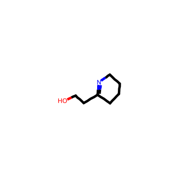 OCCC1=NCCCC1